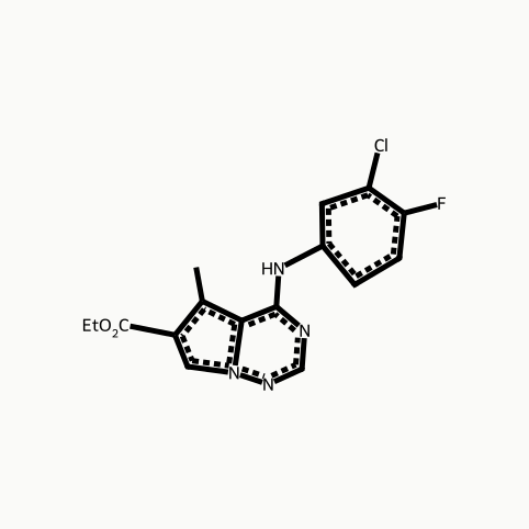 CCOC(=O)c1cn2ncnc(Nc3ccc(F)c(Cl)c3)c2c1C